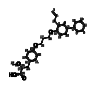 C=CCc1cc(-c2ccccc2)ccc1OCCCOc1ccc(C[C@H](OC)C(=O)O)cc1